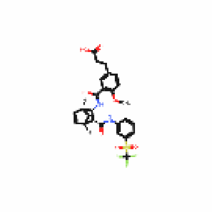 COc1ccc(CCC(=O)O)cc1C(O)N[C@H]1[C@@H](C(=O)Nc2cccc(S(=O)(=O)C(F)(F)F)c2)[C@@H]2C=C[C@H]1C2